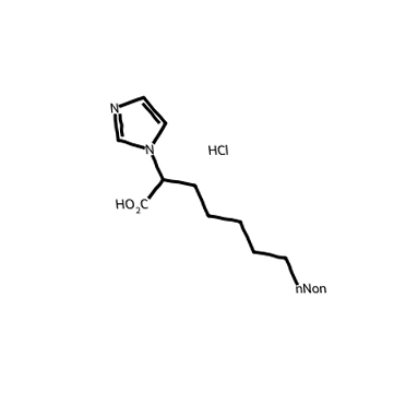 CCCCCCCCCCCCCCC(C(=O)O)n1ccnc1.Cl